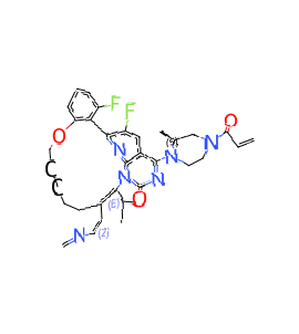 C=CC(=O)N1CCN(c2nc(=O)n3c4nc(c(F)cc24)-c2c(F)cccc2OCCCCCC(/C=C\N=C)=C\3C(C)C)[C@@H](C)C1